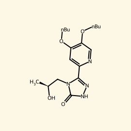 CCCCOc1cnc(-c2n[nH]c(=O)n2C[C@H](C)O)cc1OCCCC